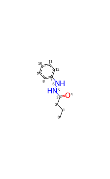 CCCC(=O)NNc1ccccc1